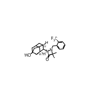 CC1(C)C(=O)N(C2[C@@H]3CC4C[C@H]2CC(O)(C4)C3)N1Cc1ccccc1C(F)(F)F